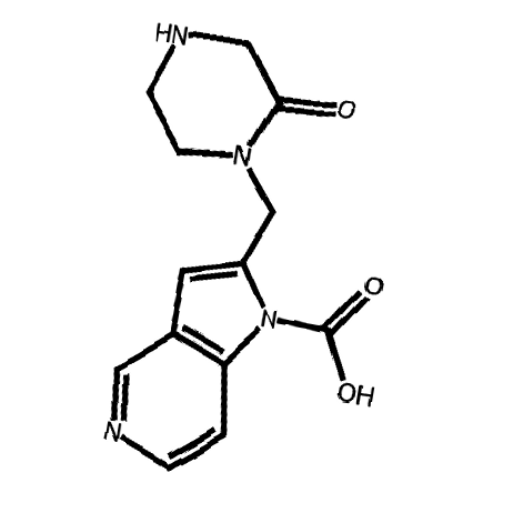 O=C1CNCCN1Cc1cc2cnccc2n1C(=O)O